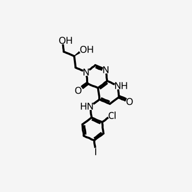 O=c1cc(Nc2ccc(I)cc2Cl)c2c(=O)n(C[C@H](O)CO)cnc2[nH]1